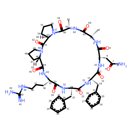 C[C@@H]1NC(=O)[C@H](CC(N)=O)NC(=O)[C@H](Cc2ccccc2)NC(=O)[C@H](Cc2ccccc2)NC(=O)[C@H](CCCNC(=N)N)NC(=O)[C@@H]2CCCN2C(=O)[C@H]2CCCN2C(=O)[C@H](C)NC1=O